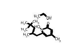 CCO.Cc1cc(CC(C)CC(C)(C)C)n(O)c(=O)c1